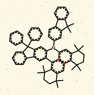 CC1(C)CCC(C)(C)c2cc(N(c3ccc4c(c3)C(C)(C)c3ccccc3-4)c3cc4c(cc3-c3cccc5c3C(C)(C)CCC5(C)C)-c3ccccc3C4(c3ccccc3)c3ccccc3)ccc21